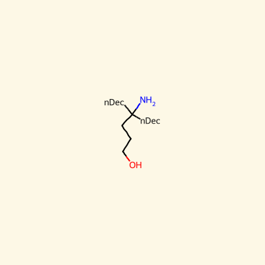 CCCCCCCCCCC(N)(CCCO)CCCCCCCCCC